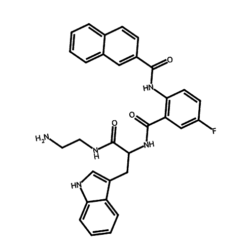 NCCNC(=O)C(Cc1c[nH]c2ccccc12)NC(=O)c1cc(F)ccc1NC(=O)c1ccc2ccccc2c1